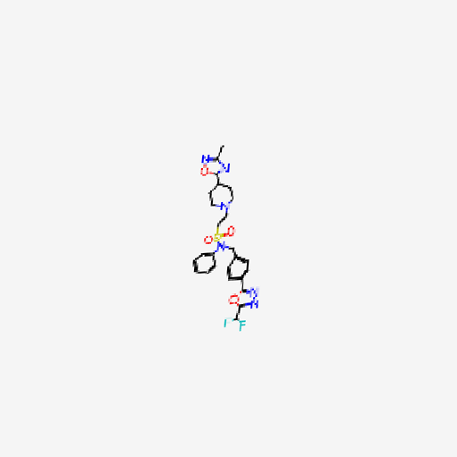 Cc1noc(C2CCN(CCS(=O)(=O)N(Cc3ccc(-c4nnc(C(F)F)o4)cc3)c3ccccc3)CC2)n1